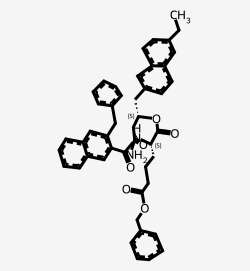 CCc1ccc2cc(C[C@@H](CC(N)=O)OC(=O)[C@H](CCCC(=O)OCc3ccccc3)NC(=O)c3cc4ccccc4cc3Cc3ccccc3)ccc2c1